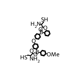 COc1ccc(B(OC(=O)C(N)CS)c2ccc(Oc3ccc(B(OC(=O)C(N)CS)c4ccccc4)cc3)cc2)cc1